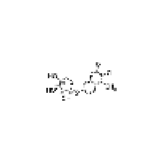 Cc1c(Cl)c(=O)oc2cc(S[C@@H]3SC[C@@H](O)[C@H](O)[C@H]3O)ccc12